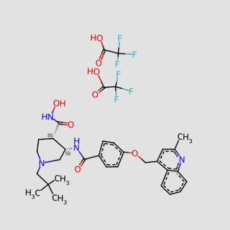 Cc1cc(COc2ccc(C(=O)N[C@@H]3CN(CC(C)(C)C)CC[C@@H]3C(=O)NO)cc2)c2ccccc2n1.O=C(O)C(F)(F)F.O=C(O)C(F)(F)F